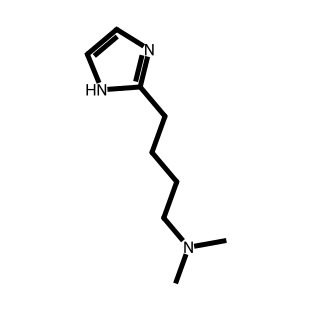 CN(C)CCCCc1ncc[nH]1